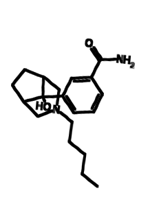 CCCCCN1CC2CCC(C1)C2(O)c1cccc(C(N)=O)c1